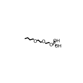 CCCCOCCOCCOP(O)O